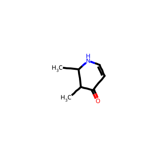 CC1NC=CC(=O)C1C